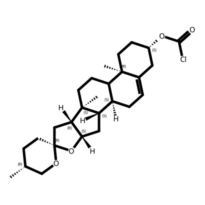 C[C@@H]1CC[C@@]2(C[C@H]3[C@H](C[C@H]4[C@@H]5CC=C6C[C@@H](OC(=O)Cl)CC[C@]6(C)C5CC[C@]34C)O2)OC1